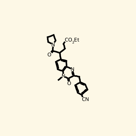 CCOC(=O)CCC(C(=O)N1CCCC1)c1ccc2c(c1)nc(Cc1ccc(C#N)cc1)c(=O)n2C